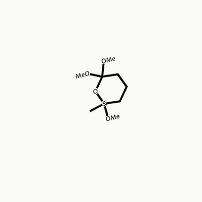 COC1(OC)CCC[Si](C)(OC)O1